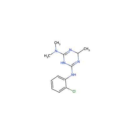 CC1N=C(Nc2ccccc2Cl)NC(N(C)C)=N1